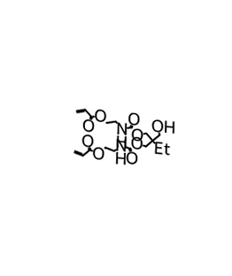 C=CC(=O)OCCNC(=O)OCC(CC)(CO)COC(=O)NCCOC(=O)C=C